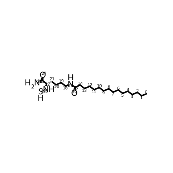 CCCCCCCCCCCCCCCC(=O)NCCCC[C@H](NS)C(N)=O